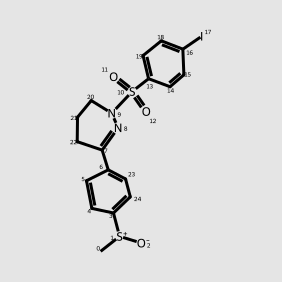 C[S+]([O-])c1ccc(C2=NN(S(=O)(=O)c3ccc(I)cc3)CCC2)cc1